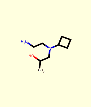 CC(O)CN(CCN)C1CCC1